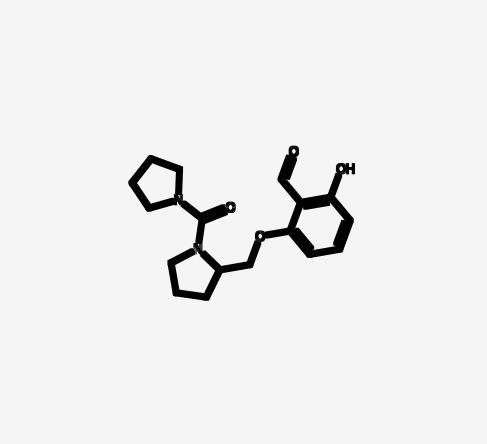 O=Cc1c(O)cccc1OCC1CCCN1C(=O)N1CCCC1